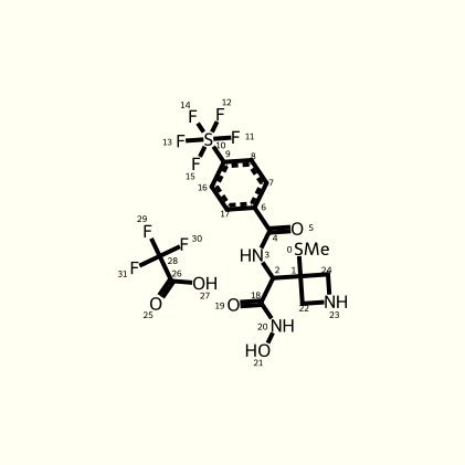 CSC1(C(NC(=O)c2ccc(S(F)(F)(F)(F)F)cc2)C(=O)NO)CNC1.O=C(O)C(F)(F)F